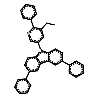 CCc1cc(-n2c3ccc(-c4ccccc4)cc3c3cc(-c4ccccc4)ccc32)cnc1-c1ccccc1